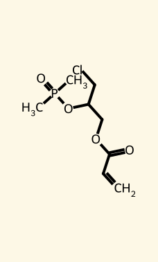 C=CC(=O)OCC(CCl)OP(C)(C)=O